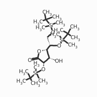 CC(C)(C)[Si](C)(C)OC[C@H](O[Si](C)(C)C(C)(C)C)[C@H]1OC(=O)[C@@H](O[Si](C)(C)C(C)(C)C)[C@H]1O